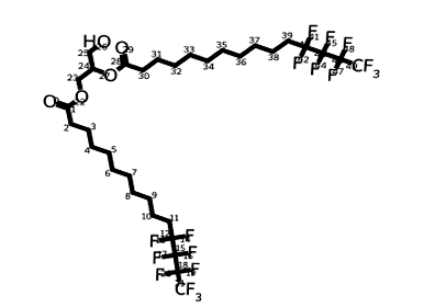 O=C(CCCCCCCCCCC(F)(F)C(F)(F)C(F)(F)C(F)(F)F)OCC(CO)OC(=O)CCCCCCCCCCC(F)(F)C(F)(F)C(F)(F)C(F)(F)F